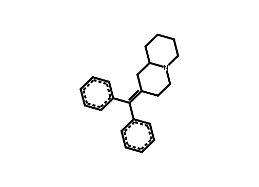 c1ccc(C(=C2CCN3CCCCC3C2)c2ccccc2)cc1